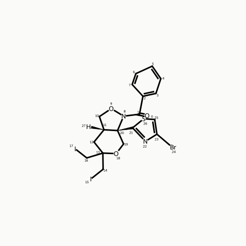 O=C(c1ccccc1)N1OC[C@H]2CC(CI)(CI)OC[C@]21c1nc(Br)cs1